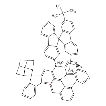 CC(C)(C)c1ccc2c(c1)C1(c3ccccc3-c3ccc(N(c4ccc5c(c4)C4(c6ccccc6-5)C5CC6CC7CC4C675)c4ccccc4-c4cccc5cccc(-c6ccccc6)c45)cc31)c1cc(C(C)(C)C)ccc1-2